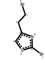 BrCCc1csc(Br)n1